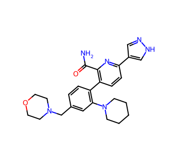 NC(=O)c1nc(-c2cn[nH]c2)ccc1-c1ccc(CN2CCOCC2)cc1N1CCCCC1